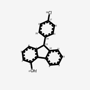 Oc1cccc2c1-c1ccccc1C2c1ccc(Cl)cc1